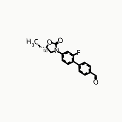 CC[C@H]1CN(c2ccc(-c3ccc(C=O)cc3)c(F)c2)C(=O)O1